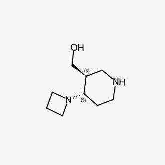 OC[C@H]1CNCC[C@@H]1N1CCC1